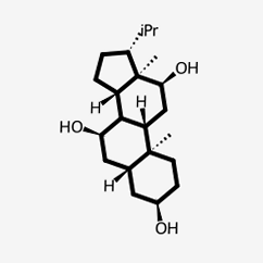 CC(C)[C@H]1CC[C@H]2C3[C@H](O)C[C@H]4C[C@H](O)CC[C@]4(C)[C@H]3C[C@H](O)[C@]12C